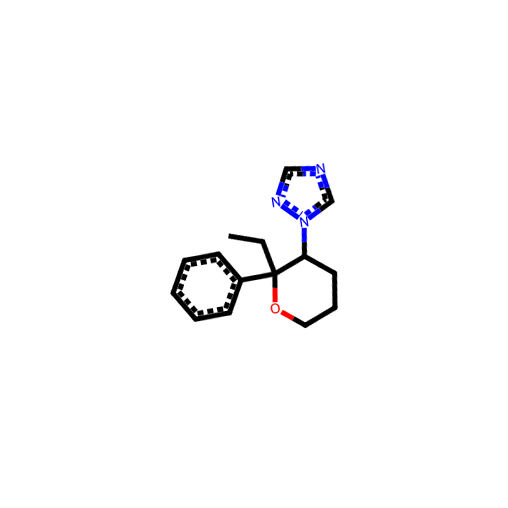 CCC1(c2ccccc2)OCCCC1n1cncn1